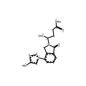 CCCCc1cn(-c2cccc3c2CN(C(C=O)CCC(=O)NC)C3=O)nn1